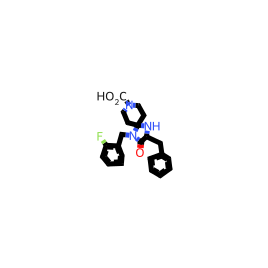 O=C(O)N1CCC2(CC1)NC(Cc1ccccc1)C(=O)N2Cc1ccccc1F